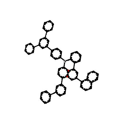 c1ccc(-c2cccc(-c3ccc(N(c4ccc(-c5cc(-c6ccccc6)cc(-c6ccccc6)c5)cc4)c4ccccc4-c4cccc(-c5cccc6ccccc56)c4)cc3)c2)cc1